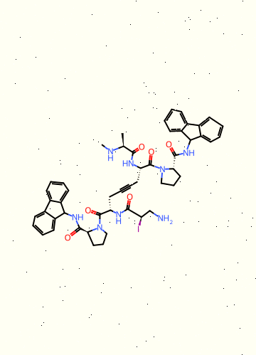 CN[C@@H](C)C(=O)N[C@@H](CC#CC[C@H](NC(=O)[C@H](I)CN)C(=O)N1CCC[C@H]1C(=O)NC1c2ccccc2-c2ccccc21)C(=O)N1CCC[C@H]1C(=O)NC1c2ccccc2-c2ccccc21